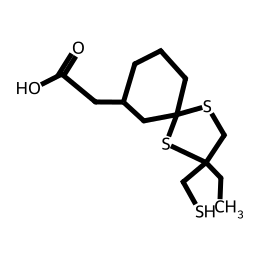 CCC1(CS)CSC2(CCCC(CC(=O)O)C2)S1